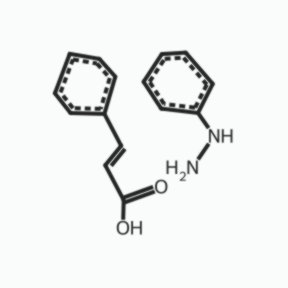 NNc1ccccc1.O=C(O)/C=C/c1ccccc1